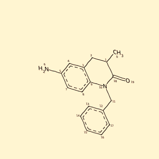 CC1Cc2cc(N)ccc2N(Cc2ccccc2)C1=O